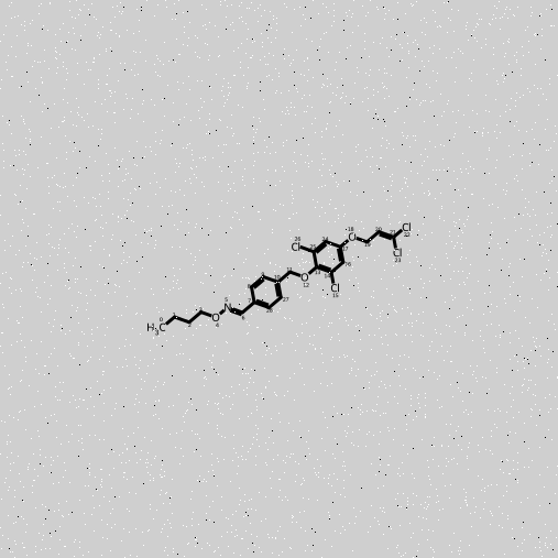 CCCCON=Cc1ccc(COc2c(Cl)cc(OCC=C(Cl)Cl)cc2Cl)cc1